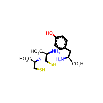 N[C@@H](CS)C(=O)O.N[C@@H](CS)C(=O)O.N[C@@H](Cc1ccc(O)cc1)C(=O)O